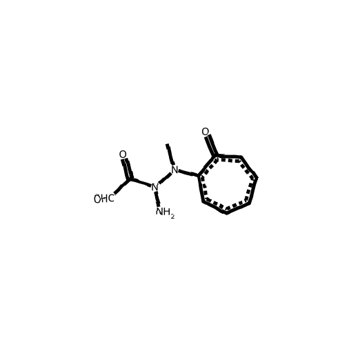 CN(c1cccccc1=O)N(N)C(=O)C=O